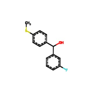 CSc1ccc(C(O)c2cccc(F)c2)cc1